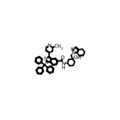 CC1CC(c2nn(C(c3ccccc3)(c3ccccc3)c3ccccc3)c3ccc(C(=O)N[C@@H]4CCCC(O)(Cn5ncc6c5C=CCC6)C4)cc23)=CC=N1